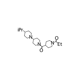 CCC(=O)N1CCC(C(=O)N2CCC(N3CCC(C(C)C)CC3)CC2)CC1